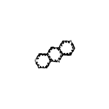 [c]1c2cnccc2nc2ccncc12